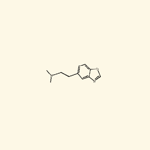 CN(C)CCc1ccc2ocnc2c1